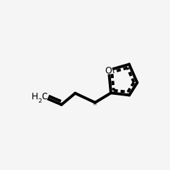 C=CC[C]c1ccco1